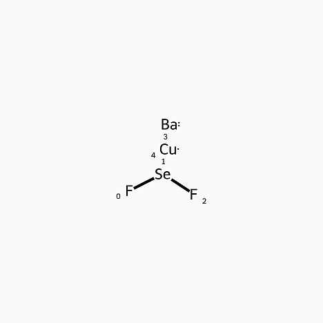 F[Se]F.[Ba].[Cu]